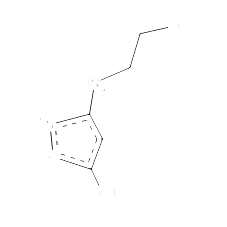 Cc1cc(NCC[O])no1